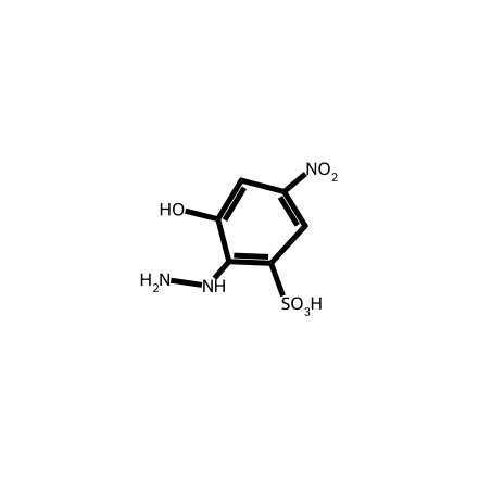 NNc1c(O)cc([N+](=O)[O-])cc1S(=O)(=O)O